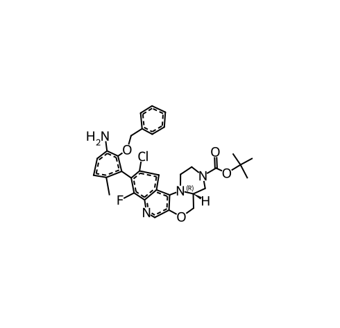 Cc1ccc(N)c(OCc2ccccc2)c1-c1c(Cl)cc2c3c(cnc2c1F)OC[C@H]1CN(C(=O)OC(C)(C)C)CCN31